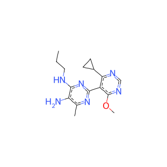 CCCNc1nc(-c2c(OC)ncnc2C2CC2)nc(C)c1N